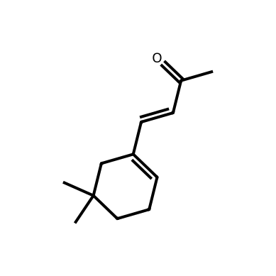 CC(=O)/C=C/C1=CCCC(C)(C)C1